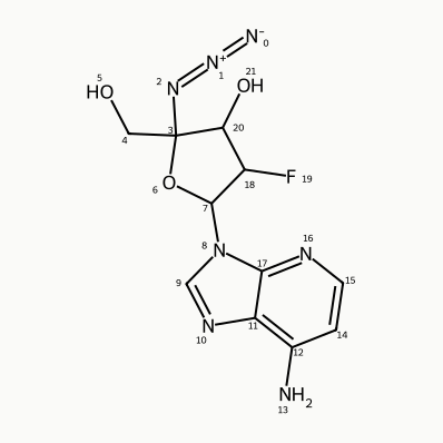 [N-]=[N+]=NC1(CO)OC(n2cnc3c(N)ccnc32)C(F)C1O